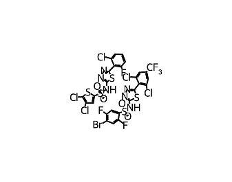 O=S(=O)(Nc1nnc(-c2c(Cl)cc(C(F)(F)F)cc2Cl)s1)c1cc(F)c(Br)cc1F.O=S(=O)(Nc1nnc(-c2c(F)cccc2Cl)s1)c1cc(Cl)c(Cl)s1